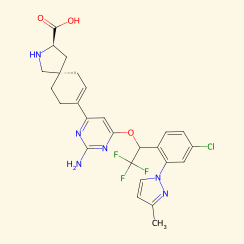 Cc1ccn(-c2cc(Cl)ccc2C(Oc2cc(C3=CC[C@]4(CC3)CN[C@@H](C(=O)O)C4)nc(N)n2)C(F)(F)F)n1